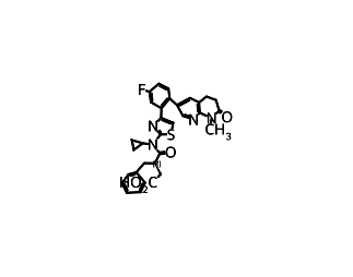 CN1C(=O)CCc2cc(-c3ccc(F)cc3-c3csc(N(C(=O)[C@@H](CC(=O)O)Cc4ccccc4)C4CC4)n3)cnc21